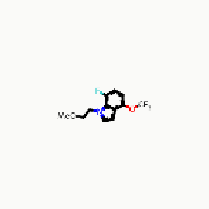 COCCn1ccc2c(OC(F)(F)F)ccc(F)c21